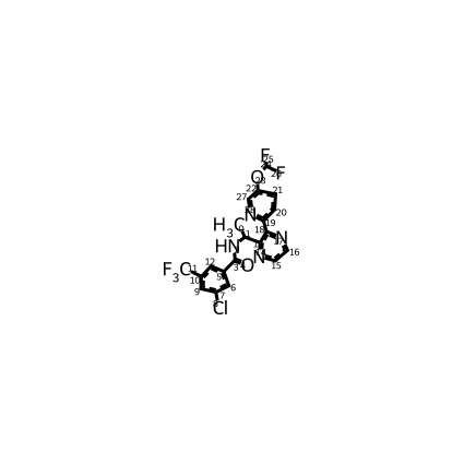 CC(NC(=O)c1cc(Cl)cc(C(F)(F)F)c1)c1nccnc1-c1ccc(OC(F)F)cn1